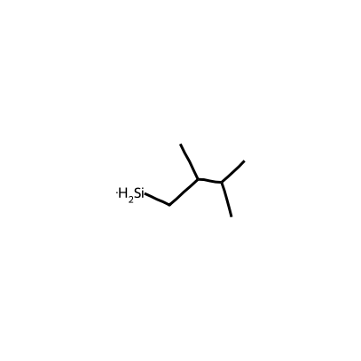 CC(C)C(C)C[SiH2]